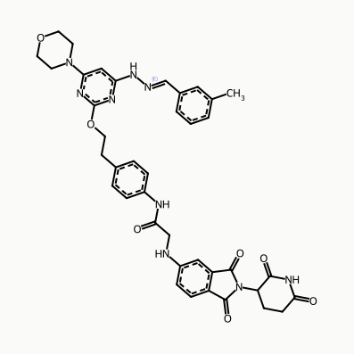 Cc1cccc(/C=N/Nc2cc(N3CCOCC3)nc(OCCc3ccc(NC(=O)CNc4ccc5c(c4)C(=O)N(C4CCC(=O)NC4=O)C5=O)cc3)n2)c1